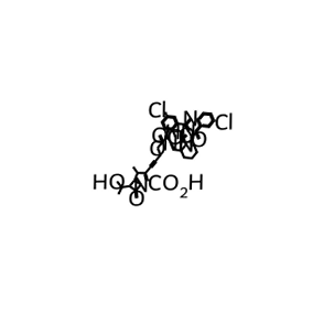 CC(O)C1C(=O)N2C(C(=O)O)=C(C#CCOC(=O)NCC3CCCCN3C(=O)Oc3ccc(Cl)cc3-c3nc4ccc(Cl)cc4c(=O)[nH]3)C(C)C12